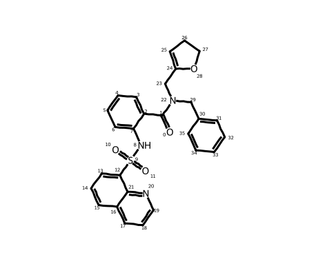 O=C(c1ccccc1NS(=O)(=O)c1cccc2cccnc12)N(CC1=CCCO1)Cc1ccccc1